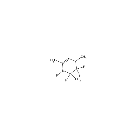 CC1=CC(C)C(F)(F)C(C)(F)N1F